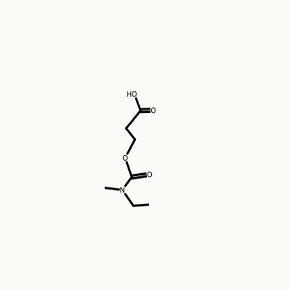 CCN(C)C(=O)OCCC(=O)O